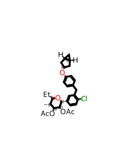 CC[C@H]1O[C@H](c2ccc(Cl)c(Cc3ccc(O[C@@H]4C[C@@H]5C[C@@H]5C4)cc3)c2)[C@H](OC(C)=O)[C@@H](OC(C)=O)[C@@H]1C